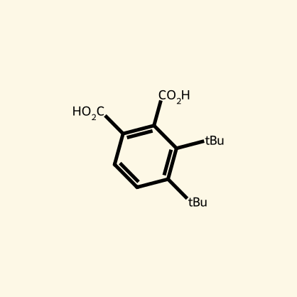 CC(C)(C)c1ccc(C(=O)O)c(C(=O)O)c1C(C)(C)C